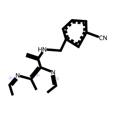 C=C(NCc1cccc(C#N)c1)C(/N=C\C)=C(C)\N=C/C